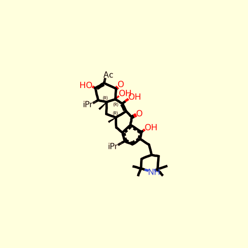 CC(=O)C1=C(O)C(C(C)C)[C@@]2(C)C[C@@]3(C)Cc4c(C(C)C)cc(CC5CC(C)(C)NC(C)(C)C5)c(O)c4C(=O)C3=C(O)[C@@]2(O)C1=O